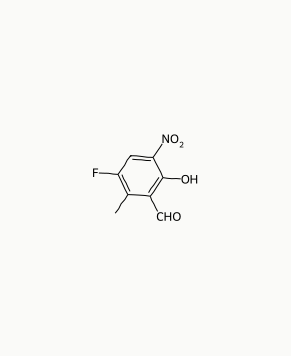 Cc1c(F)cc([N+](=O)[O-])c(O)c1C=O